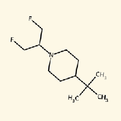 CC(C)(C)C1CCN(C(CF)CF)CC1